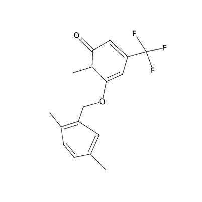 Cc1ccc(C)c(COC2=CC(C(F)(F)F)=CC(=O)C2C)c1